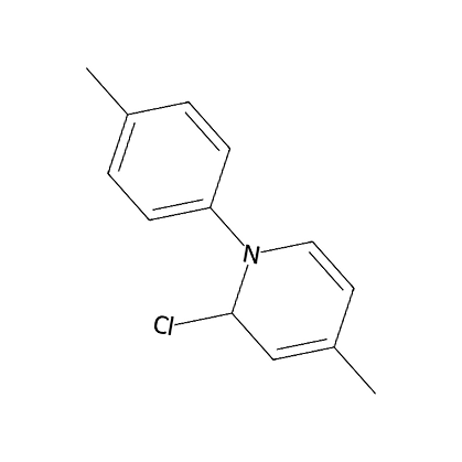 CC1=CC(Cl)N(c2ccc(C)cc2)C=C1